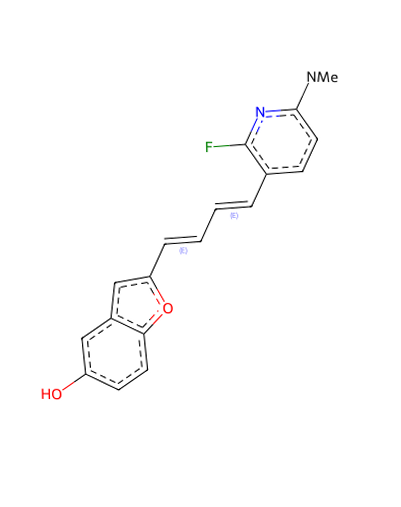 CNc1ccc(/C=C/C=C/c2cc3cc(O)ccc3o2)c(F)n1